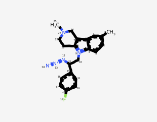 Cc1ccc2c(c1)c1c(n2CC(N=[N+]=[N-])c2ccc(F)cc2)CCN(C)C1